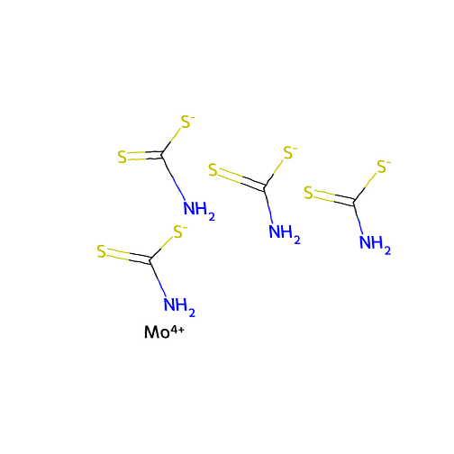 NC(=S)[S-].NC(=S)[S-].NC(=S)[S-].NC(=S)[S-].[Mo+4]